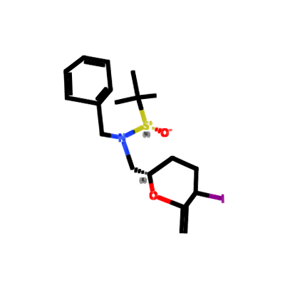 C=C1O[C@H](CN(Cc2ccccc2)[S@@+]([O-])C(C)(C)C)CCC1I